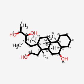 CC(O)C(O)[C@@H](C)[C@H]1C(O)C[C@H]2[C@@H]3CC(O)C4CCCC[C@]4(C)[C@H]3CC[C@]12C